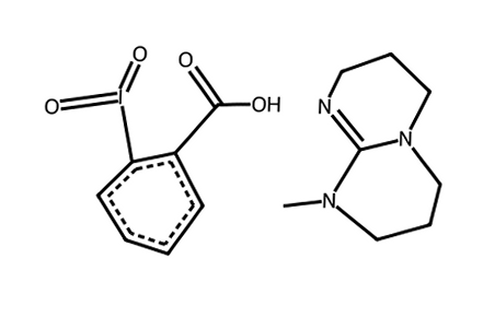 CN1CCCN2CCCN=C12.O=C(O)c1ccccc1I(=O)=O